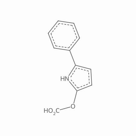 O=C(O)Oc1ccc(-c2ccccc2)[nH]1